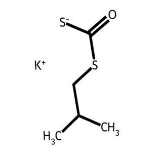 CC(C)CSC(=O)[S-].[K+]